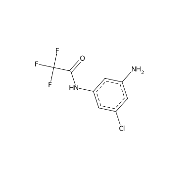 Nc1cc(Cl)cc(NC(=O)C(F)(F)F)c1